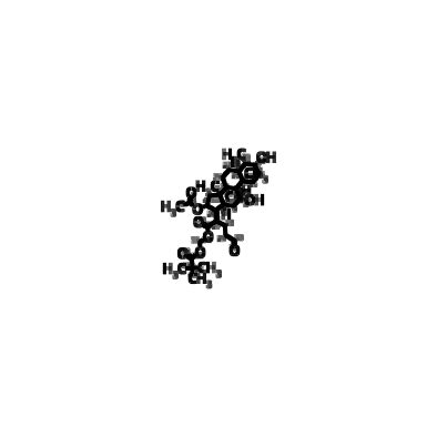 CC(=O)O[C@H]1C[C@@]2(C)[C@@H](C[C@@H](O)[C@H]3[C@@]4(C)CC[C@@H](O)[C@@H](C)[C@@H]4CC[C@@]32C)/C1=C(\CCC=O)C(=O)OCOC(=O)C(C)(C)C